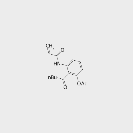 C=CC(=O)Nc1cccc(OC(C)=O)c1C(=O)CCCC